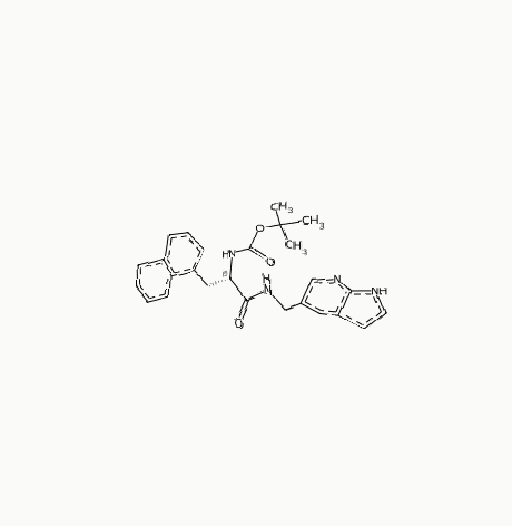 CC(C)(C)OC(=O)N[C@@H](Cc1cccc2ccccc12)C(=O)NCc1cnc2[nH]ccc2c1